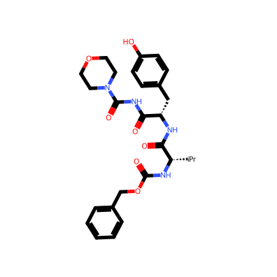 CC(C)[C@H](NC(=O)OCc1ccccc1)C(=O)N[C@@H](Cc1ccc(O)cc1)C(=O)NC(=O)N1CCOCC1